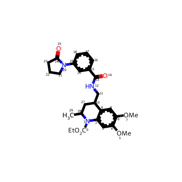 CCOC(=O)N1c2cc(OC)c(OC)cc2C(CNC(=O)c2cccc(N3CCCC3=O)c2)CC1C